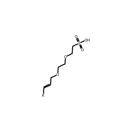 O=S(=O)(O)CCOCCOCC=[CH][K]